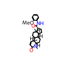 COc1ccccc1NC(=O)[C@H]1CC[C@H]2[C@@H]3CC[C@H]4N(C)C(=O)C=C[C@]4(C)[C@H]3CC[C@]12C